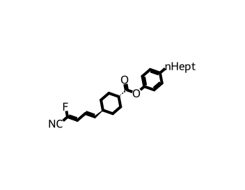 CCCCCCCc1ccc(OC(=O)[C@H]2CC[C@H](C=CC=C(F)C#N)CC2)cc1